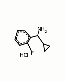 Cl.N[C@H](c1ccccc1F)C1CC1